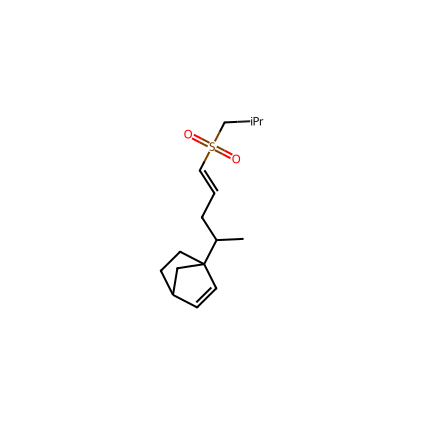 CC(C)CS(=O)(=O)C=CCC(C)C12C=CC(CC1)C2